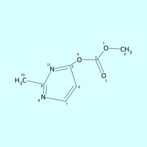 COC(=O)Oc1ccnc(C)n1